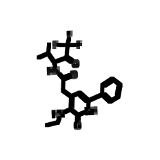 CCNc1c(CC(=O)NC(C(=O)C(F)(F)F)C(C)C)cc(-c2ccccc2)[nH]c1=O